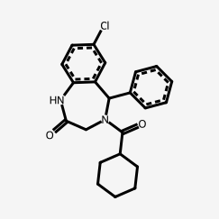 O=C1CN(C(=O)C2CCCCC2)C(c2ccccc2)c2cc(Cl)ccc2N1